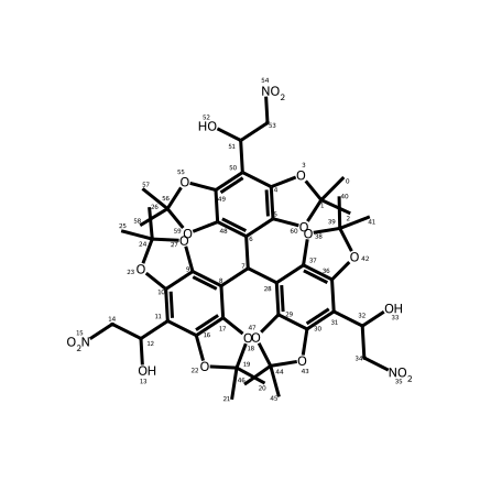 CC1(C)Oc2c(c(C(c3c4c(c(C(O)C[N+](=O)[O-])c5c3OC(C)(C)O5)OC(C)(C)O4)c3c4c(c(C(O)C[N+](=O)[O-])c5c3OC(C)(C)O5)OC(C)(C)O4)c3c(c2C(O)C[N+](=O)[O-])OC(C)(C)O3)O1